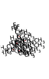 CCN(CC)P1CCC(N(CC)CC)(N(CC)CC)C1=N[P+](N=C1P(N(CC)CC)CCC1(N(CC)CC)N(CC)CC)(N=C1P(N(CC)CC)CCC1(N(CC)CC)N(CC)CC)N(CC)CC.F[B-](F)(F)F